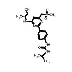 CC(C)NC(=O)Nc1ccc(-c2nc(CS(C)(=O)=O)cc(N[C@@H](C)CO)n2)cc1